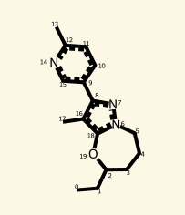 CCC1CCCn2nc(-c3ccc(C)nc3)c(C)c2O1